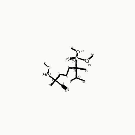 COPC(C)(C#N)CCCC(C)(C(C)C)P(=S)(OC)OC